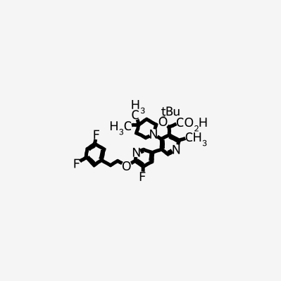 Cc1ncc(-c2cnc(OCCc3cc(F)cc(F)c3)c(F)c2)c(N2CCC(C)(C)CC2)c1C(OC(C)(C)C)C(=O)O